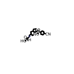 N#Cc1ccc(S(=O)(=O)N2CCc3cc(/C=C/C(=O)NO)cnc32)cc1